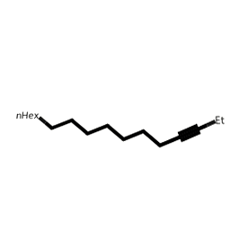 CCC#CCCCCCCCCCCCCC